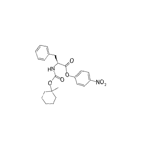 CC1(OC(=O)N[C@@H](Cc2ccccc2)C(=O)Oc2ccc([N+](=O)[O-])cc2)CCCCC1